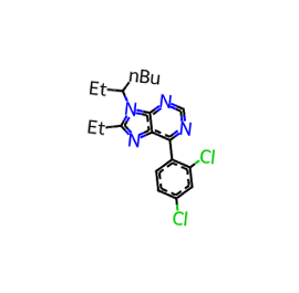 CCCCC(CC)n1c(CC)nc2c(-c3ccc(Cl)cc3Cl)ncnc21